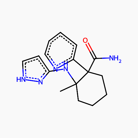 CC1(Nc2cc[nH]n2)CCCCC1(C(N)=O)c1ccccn1